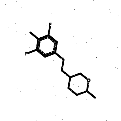 Cc1c(F)cc(CCC2CCC(C)OC2)cc1F